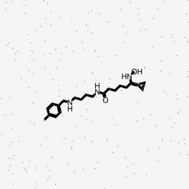 Cc1ccc(CNCCCCNC(=O)CCCCC(NO)=C2CC2)cc1